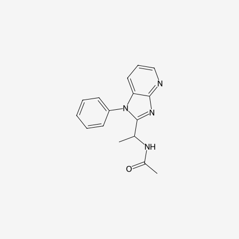 CC(=O)NC(C)c1nc2ncccc2n1-c1ccccc1